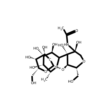 CC(=O)N[C@]1(O)[CH]O[C@H](CO)[C@@H](O[C@H]2C[C@@H](O)[C@@H](O)[C@@H](CO)O2)[C@@]1(O)C1O[C@H](C)[C@H](O)[C@H](O)[C@H]1O